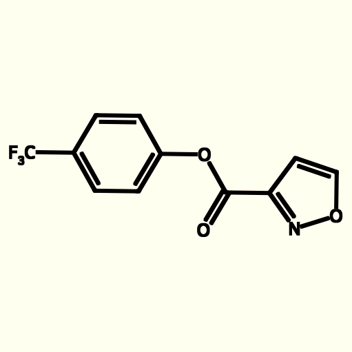 O=C(Oc1ccc(C(F)(F)F)cc1)c1ccon1